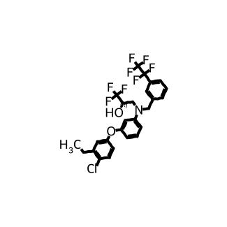 CCc1cc(Oc2cccc(N(Cc3cccc(C(F)(F)C(F)(F)F)c3)C[C@@H](O)C(F)(F)F)c2)ccc1Cl